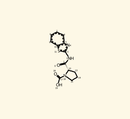 O=C(Nc1nc2ccccc2s1)[C@@H]1CCCN1C(=O)O